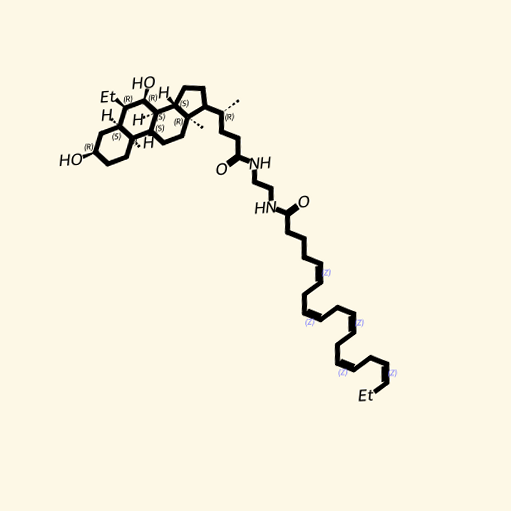 CC/C=C\C/C=C\C/C=C\C/C=C\C/C=C\CCCC(=O)NCCNC(=O)CC[C@@H](C)C1CC[C@H]2[C@@H]3[C@H](O)[C@H](CC)[C@@H]4C[C@H](O)CC[C@]4(C)[C@H]3CC[C@]12C